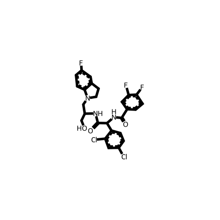 O=C(NC(C(=O)NC(CO)CN1CCc2cc(F)ccc21)c1ccc(Cl)cc1Cl)c1ccc(F)c(F)c1